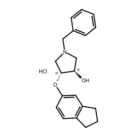 Cl.O[C@@H]1CN(Cc2ccccc2)C[C@H]1Oc1ccc2c(c1)CCC2